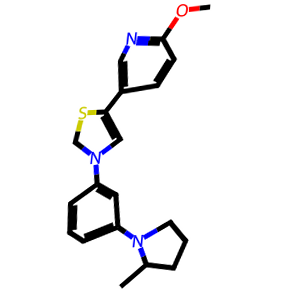 COc1ccc(C2=CN(c3cccc(N4CCCC4C)c3)CS2)cn1